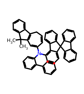 CC1(C)C2=C(CC=CC(N(c3ccccc3-c3ccccc3)c3cccc4c3-c3ccccc3C43c4ccccc4-c4ccccc43)=C2)c2ccccc21